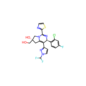 OC[C@]1(O)CC2=C(c3ccn(C(F)F)n3)[C@H](c3ccc(F)cc3Cl)N=C(c3nccs3)N2C1